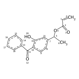 C=CC(=O)OC(C)c1ccc(C(=O)c2ccccc2)c(O)c1